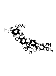 COc1cc(NC(=O)C2CCC(n3c(=O)[nH]c4c(C(=O)N5CCC(N(C)C)CC5)cccc43)CC2)ccc1C